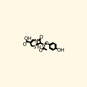 CC(=O)N(Oc1ccc(O)cc1)C1C(=O)N2C=C(C(=O)O)CS[C@H]12